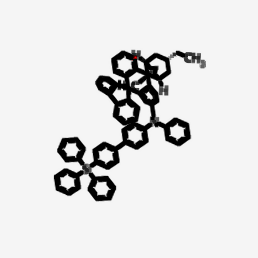 CC[C@@H]1C[C@H]2C[C@H](C)C[C@@H](C1)C21c2ccccc2C2(c3ccccc3-c3ccccc32)c2cc(N(c3ccccc3)c3ccc(-c4ccc([Si](c5ccccc5)(c5ccccc5)c5ccccc5)cc4)cc3)ccc21